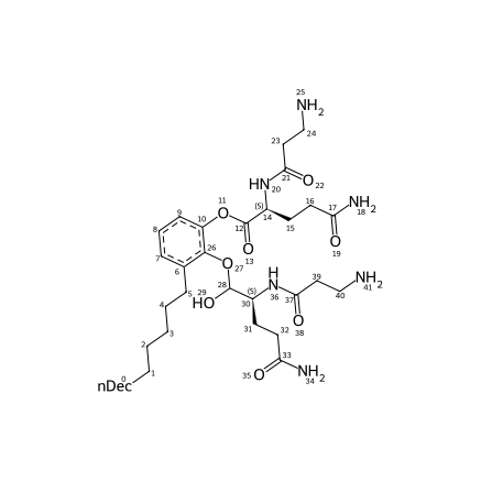 CCCCCCCCCCCCCCCc1cccc(OC(=O)[C@H](CCC(N)=O)NC(=O)CCN)c1OC(O)[C@H](CCC(N)=O)NC(=O)CCN